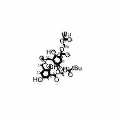 CC(C)(C)C(=O)OCOC(=O)c1cc(O)cc(CS(=O)(=O)Cc2cc(O)cc(C(=O)OCOC(=O)C(C)(C)C)c2O)c1O